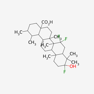 CC1CCC2(C(=O)O)CCC3(C)C(=CCC4C5(C)CCC(O)(F)C(C)(C)C5CC(F)(F)C43C)C2C1C